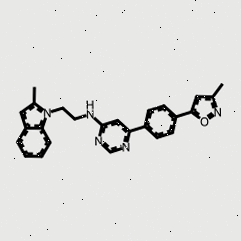 Cc1cc(-c2ccc(-c3cc(NCCn4c(C)cc5ccccc54)ncn3)cc2)on1